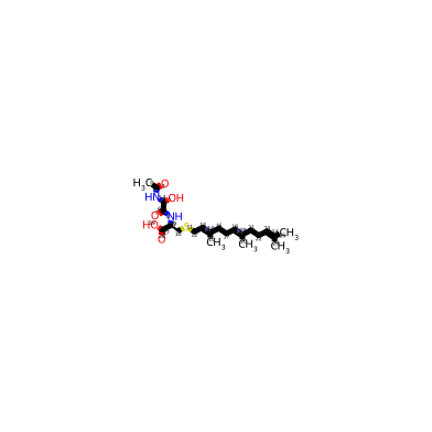 CC(=O)NC(O)C(=O)N[C@@H](CSC/C=C(\C)CC/C=C(\C)CCC=C(C)C)C(=O)O